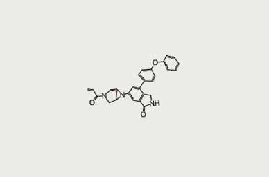 C=CC(=O)N1CC2CC1CN2c1cc2c(c(-c3ccc(Oc4ccccc4)cc3)c1)CNC2=O